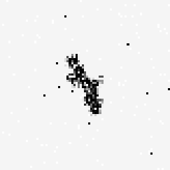 NC(=O)c1nn(CC(=O)N2C[C@H](F)CC2C(=O)Nc2cccc(-c3ccccc3Cl)c2F)c2ccc(-c3cncnc3)cc12